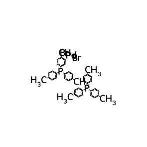 Cc1ccc(P(c2ccc(C)cc2)c2ccc(C)cc2)cc1.Cc1ccc(P(c2ccc(C)cc2)c2ccc(C)cc2)cc1.[Br][Pd][Br]